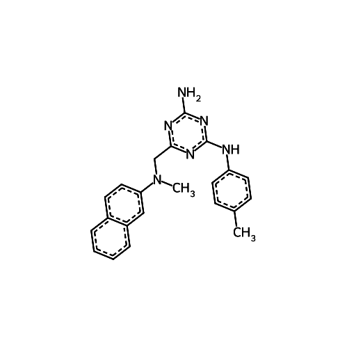 Cc1ccc(Nc2nc(N)nc(CN(C)c3ccc4ccccc4c3)n2)cc1